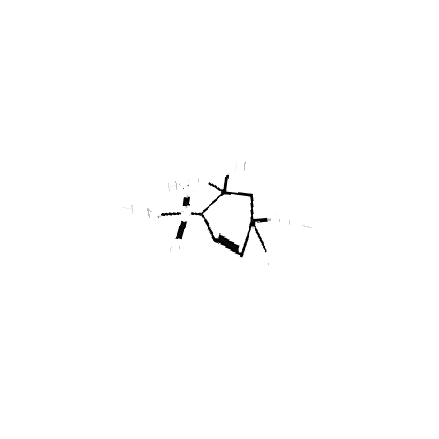 CC1(C(=O)O)C=CC(S(N)(=O)=O)C(C)(C(=O)O)C1